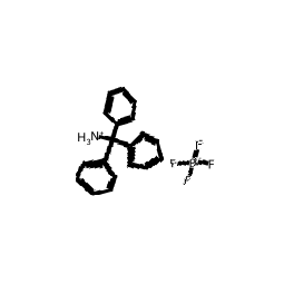 F[B-](F)(F)F.[NH3+]C(c1ccccc1)(c1ccccc1)c1ccccc1